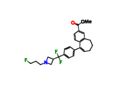 COC(=O)c1ccc2c(c1)CCCC=C2c1ccc(C(F)(F)C2CN(CCCF)C2)cc1